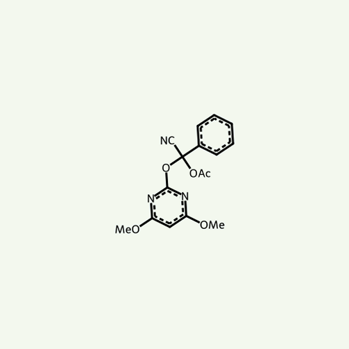 COc1cc(OC)nc(OC(C#N)(OC(C)=O)c2ccccc2)n1